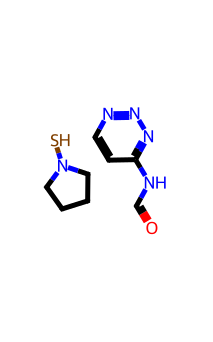 O=CNc1ccnnn1.SN1CCCC1